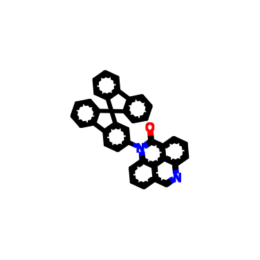 O=c1c2cccc3ncc4cccc(c4c32)n1-c1ccc2c(c1)C1(c3ccccc3-c3ccccc31)c1ccccc1-2